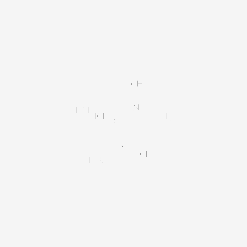 CN(C)[Si]N(C)C.Cl.Cl